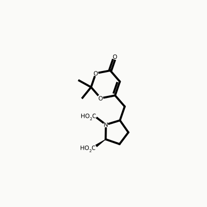 CC1(C)OC(=O)C=C(CC2CC[C@@H](C(=O)O)N2C(=O)O)O1